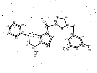 O=C(c1cnn2c1NC(c1ccccc1)CC2C(F)(F)F)N1CCC(Cc2cc(Cl)cc(Cl)c2)C1